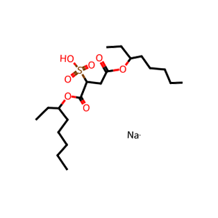 CCCCCC(CC)OC(=O)CC(C(=O)OC(CC)CCCCC)S(=O)(=O)O.[Na]